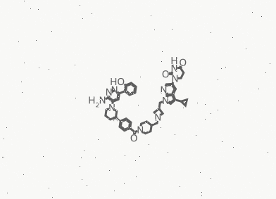 Nc1nnc(-c2ccccc2O)cc1N1CCC[C@H](c2ccc(C(=O)N3CCC(CN4CC(Cn5cc(C6CC6)c6cc(N7CCC(=O)NC7=O)cnc65)C4)CC3)cc2)C1